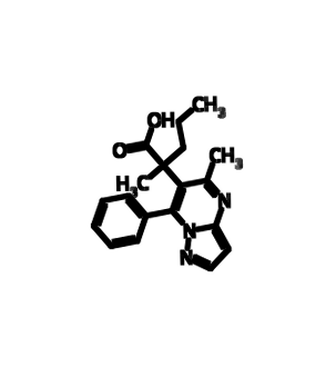 CCCC(C)(C(=O)O)c1c(C)nc2ccnn2c1-c1ccccc1